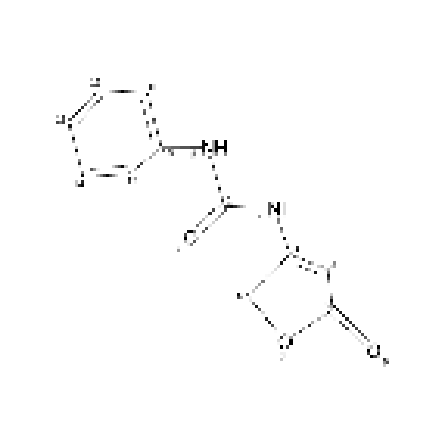 O=C(NC1=CC(=O)OC1)Nc1ccccc1